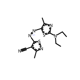 CCN(CC)c1nc(C)c(/N=N\c2snc(C)c2C#N)s1